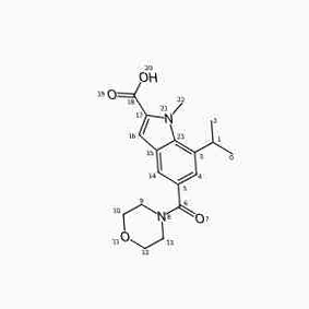 CC(C)c1cc(C(=O)N2CCOCC2)cc2cc(C(=O)O)n(C)c12